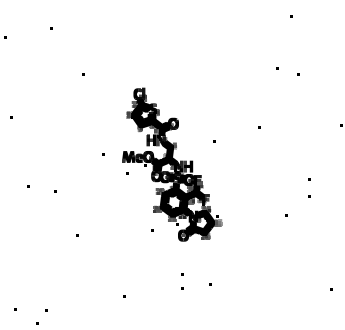 COC(=O)C(CNC(=O)c1ccc(Cl)s1)NS(=O)(=O)c1cccc(N2CCCC2=O)c1C(F)F